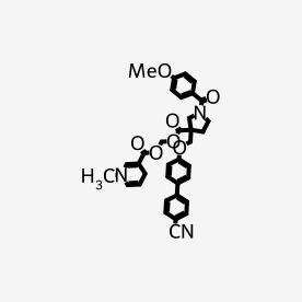 COc1ccc(C(=O)N2CCC(COc3ccc(-c4ccc(C#N)cc4)cc3)(C(=O)OCOC(=O)C3=CN(C)C=CC3)C2)cc1